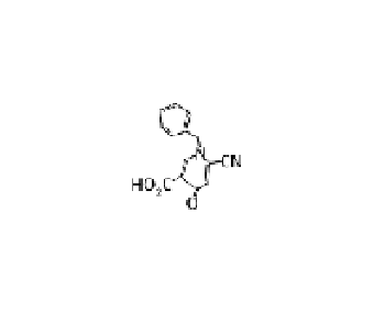 N#Cc1cc(=O)c(C(=O)O)cn1Cc1ccccc1